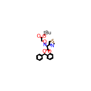 CC(C)(C)OC(=O)CON=C(C(=O)OC(c1ccccc1)c1ccccc1)c1cscn1